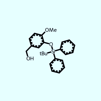 COc1ccc(CO)cc1O[Si](c1ccccc1)(c1ccccc1)C(C)(C)C